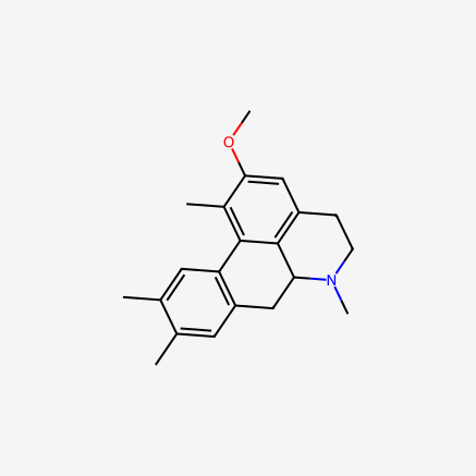 COc1cc2c3c(c1C)-c1cc(C)c(C)cc1CC3N(C)CC2